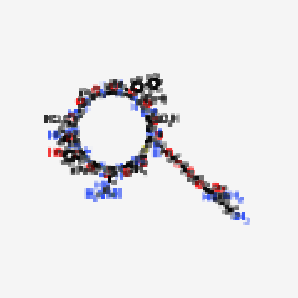 CCCCC[C@@H]1NC(=O)[C@H](Cc2ccc(-c3ccccc3)cc2)NC(=O)[C@H](CC(C)C)NC(=O)[C@H](C(C)C)NC(=O)CNC(=O)[C@H](CC(=O)O)NC(=O)[C@H](Cc2c[nH]cn2)NC(=O)[C@H](Cc2ccc(O)cc2)NC(=O)[C@H](CCCCC)NC(=O)[C@H](CCCNC(=N)N)NC(=O)[C@H](C)NC(=O)CSC[C@@H](C(=O)NCCOCCOCCOCCOCCC(=O)N[C@@H](CCCCN)C(N)=O)NCC(=O)[C@H](CC(=O)O)NC1=O